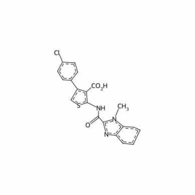 Cn1c(C(=O)Nc2scc(-c3ccc(Cl)cc3)c2C(=O)O)nc2ccccc21